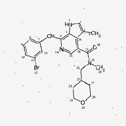 Cc1c[nH]c2c(Oc3cccc(Br)c3)ncc(C(=O)N(C)CC3CCOCC3)c12